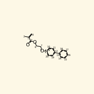 C=C(C)C(=O)OCCO[n+]1ccc(-c2ccccc2)cc1